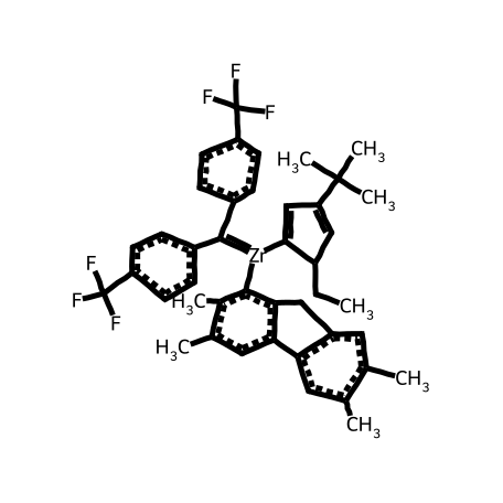 CCC1C=C(C(C)(C)C)C=[C]1[Zr](=[C](c1ccc(C(F)(F)F)cc1)c1ccc(C(F)(F)F)cc1)[c]1c(C)c(C)cc2c1Cc1cc(C)c(C)cc1-2